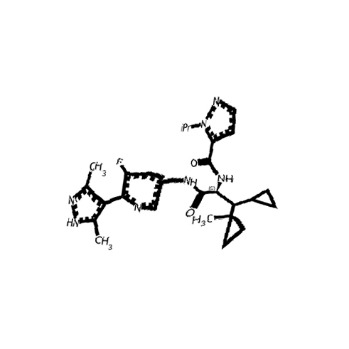 Cc1n[nH]c(C)c1-c1ncc(NC(=O)[C@@H](NC(=O)c2ccnn2C(C)C)C(C2CC2)C2(C)CC2)cc1F